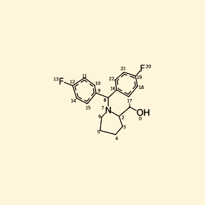 OCC1CCCCN1C(c1ccc(F)cc1)c1ccc(F)cc1